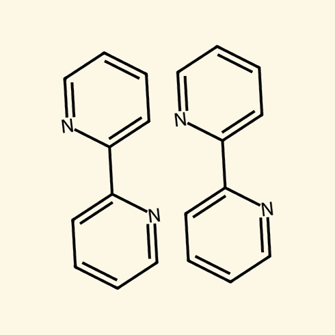 c1ccc(-c2ccccn2)nc1.c1ccc(-c2ccccn2)nc1